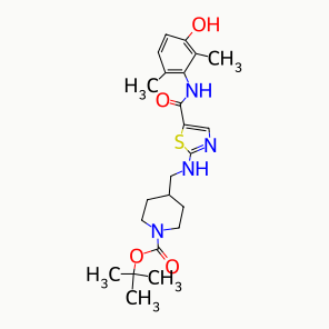 Cc1ccc(O)c(C)c1NC(=O)c1cnc(NCC2CCN(C(=O)OC(C)(C)C)CC2)s1